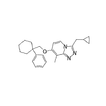 Cc1c(OCC2(c3ccccc3)CCCCC2)ccn2c(CC3CC3)nnc12